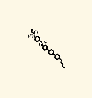 C=CC(=O)NC1CCC(COc2ccc(C3CCC(C4CCC(CCCCC)CC4)CC3)cc2F)CC1